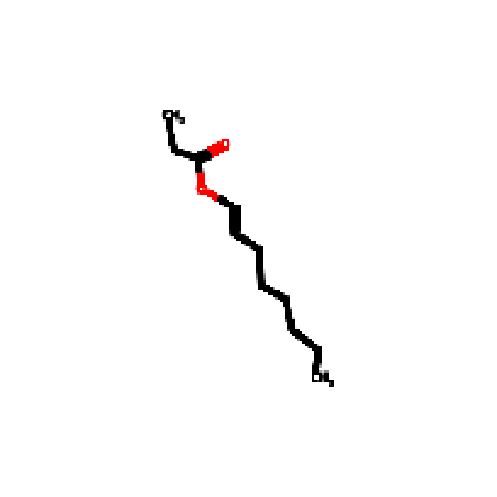 CCCCCC/C=C/OC(=O)CC